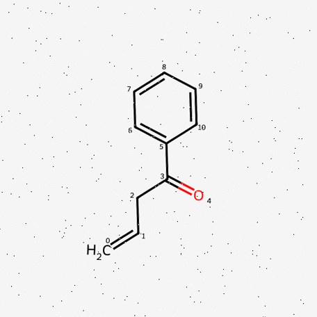 C=CCC(=O)c1ccccc1